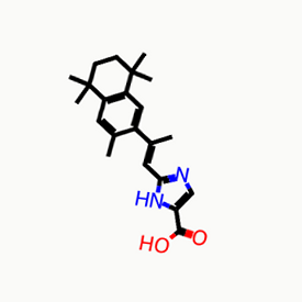 CC(=Cc1ncc(C(=O)O)[nH]1)c1cc2c(cc1C)C(C)(C)CCC2(C)C